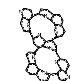 c1cc2c3ccc4ccc5ccc(nc5c4n3)c3cc4nc5c(cc(nc35)c3ccc(n1)c2n3)c1ccc2ccc3ccc(nc3c2n1)c1ccnc2ccc4nc21